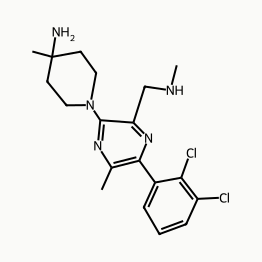 CNCc1nc(-c2cccc(Cl)c2Cl)c(C)nc1N1CCC(C)(N)CC1